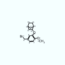 COc1ccc(CBr)cc1OC1CC2CCC1C2